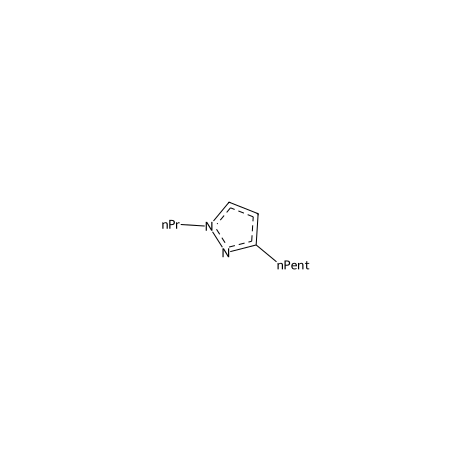 CCCCCc1ccn(CCC)n1